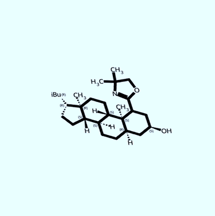 CC[C@@H](C)[C@H]1CC[C@H]2[C@@H]3CC[C@@H]4C[C@H](O)CC(C5=NC(C)(C)CO5)[C@]4(C)[C@H]3CC[C@]12C